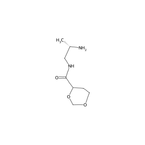 C[C@H](N)CNC(=O)C1CCOCO1